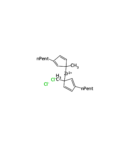 CCCCCC1=C[C](C)([Zr+2][C]2(C)C=CC(CCCCC)=C2)C=C1.[Cl-].[Cl-]